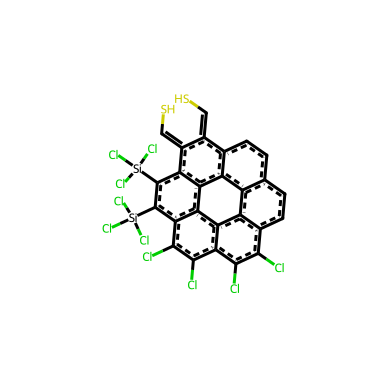 SC=c1c(=CS)c2c([Si](Cl)(Cl)Cl)c([Si](Cl)(Cl)Cl)c3c(Cl)c(Cl)c4c(Cl)c(Cl)c5ccc6ccc1c1c6c5c4c3c21